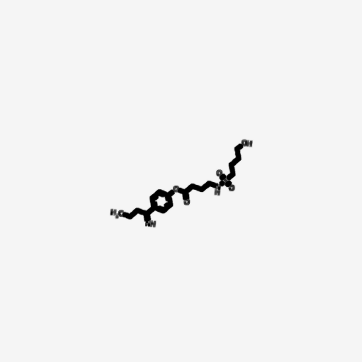 CCCC(=N)c1ccc(OC(=O)CCCNS(=O)(=O)CCCCO)cc1